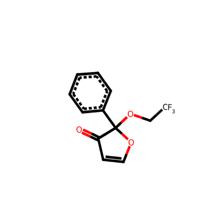 O=C1C=COC1(OCC(F)(F)F)c1ccccc1